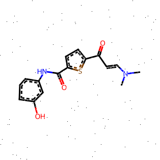 CN(C)/C=C/C(=O)c1ccc(C(=O)Nc2cccc(O)c2)s1